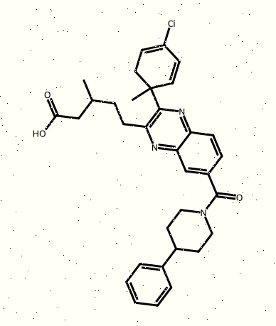 CC(CCc1nc2cc(C(=O)N3CCC(c4ccccc4)CC3)ccc2nc1C1(C)C=CC(Cl)=CC1)CC(=O)O